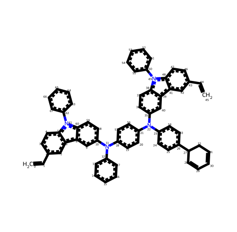 C=Cc1ccc2c(c1)c1cc(N(c3ccccc3)c3ccc(N(c4ccc(C5C=CC=CC5)cc4)c4ccc5c(c4)c4cc(C=C)ccc4n5-c4ccccc4)cc3)ccc1n2-c1ccccc1